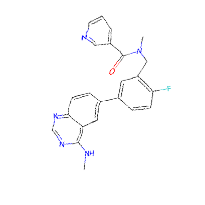 CNc1ncnc2ccc(-c3ccc(F)c(CN(C)C(=O)c4cccnc4)c3)cc12